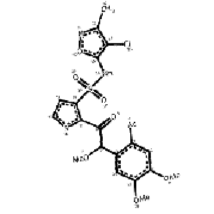 COc1cc(C(C)=O)c(C(OC)C(=O)c2sccc2S(=O)(=O)Nc2onc(C)c2Cl)cc1OC